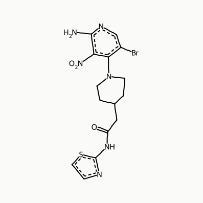 Nc1ncc(Br)c(N2CCC(CC(=O)Nc3nccs3)CC2)c1[N+](=O)[O-]